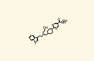 Cn1cc(CCN(CCO)CC2CCN(c3ncc(C(=O)NO)cn3)CC2)c2ccccc21